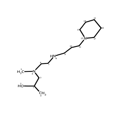 CC(O)CN(C)CCNCCCN1CCCCC1